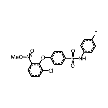 CO[N+](=O)c1cccc(Cl)c1Oc1ccc(S(=O)(=O)Nc2ccc(F)cc2)cc1